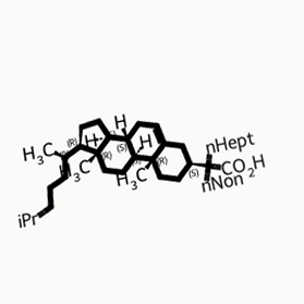 CCCCCCCCCC(CCCCCCC)(C(=O)O)[C@H]1CC[C@@]2(C)C(=CC[C@H]3[C@@H]4CC[C@H]([C@H](C)CCCC(C)C)[C@@]4(C)CC[C@@H]32)C1